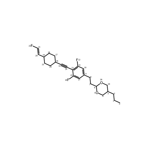 CCCC1COC(CCc2cc(F)c(C#CC3CCC(C=CF)CC3)c(F)c2)OC1